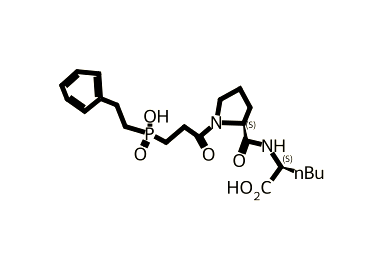 CCCC[C@H](NC(=O)[C@@H]1CCCN1C(=O)CCP(=O)(O)CCc1ccccc1)C(=O)O